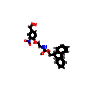 O=C(NCCOc1ccc(CO)cc1[N+](=O)[O-])OCC1c2ccccc2-c2ccccc21